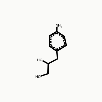 Nc1ccc(CC(O)CO)cc1